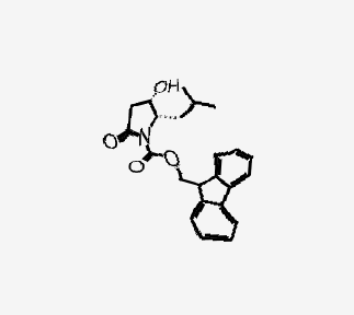 CC(C)C[C@H]1[C@@H](O)CC(=O)N1C(=O)OCC1c2ccccc2-c2ccccc21